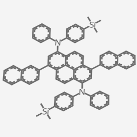 C[Si](C)(C)c1ccc(N(c2ccccc2)c2cc(-c3ccc4ccccc4c3)c3ccc4c(N(c5ccccc5)c5ccc([Si](C)(C)C)cc5)cc(-c5ccc6ccccc6c5)c5ccc2c3c54)cc1